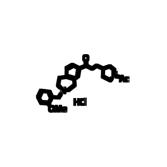 COc1ccccc1CN1CCc2ccc(C(=O)CCC3CCN(C(C)=O)CC3)cc2CC1.Cl